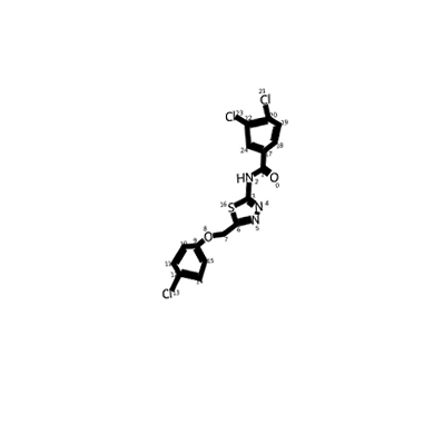 O=C(Nc1nnc(COc2ccc(Cl)cc2)s1)c1ccc(Cl)c(Cl)c1